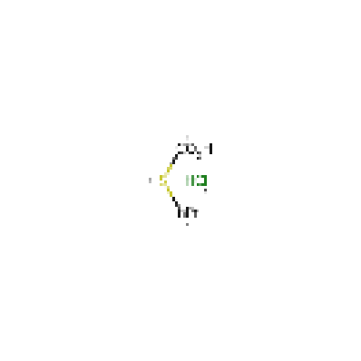 CCCSC(=O)O.Cl